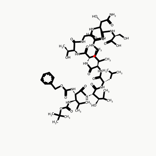 CC[C@H](C)[C@H](NC(=O)[C@@H](CCCNC(=N)N)NC(=O)[C@H](CC(C)C)NC(=O)[C@@H](NC(=O)[C@@H](NC(=O)OCc1ccccc1)[C@H](NC(=O)OC(C)(C)C)C(C)C)[C@H](O)C(C)C)C(=O)N[C@H](C(=O)NCC(=O)NC(C(=O)N[C@@H](CO)C(=O)O)[C@H](O)C(N)=O)[C@H](C)O